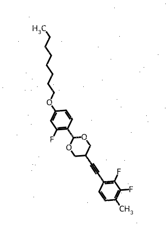 CCCCCCCCOc1ccc(C2OCC(C#Cc3ccc(C)c(F)c3F)CO2)c(F)c1